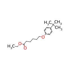 CCOC(=O)CCCCCOc1ccc(C(C)(C)C)cc1